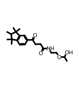 CC(O)OCCNC(=O)CCC(=O)c1ccc2c(c1)C(C)(C)C(C)C2(C)C